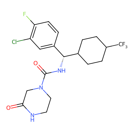 O=C1CN(C(=O)N[C@H](c2ccc(F)c(Cl)c2)C2CCC(C(F)(F)F)CC2)CCN1